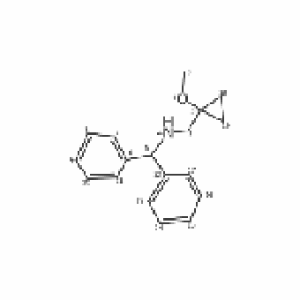 COC1(CNC(c2ccccc2)c2ccccc2)CC1